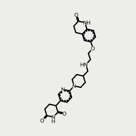 O=C1CCC(c2ccc(N3CCC(CNCCOc4ccc5c(c4)CCC(=O)N5)CC3)nc2)C(=O)N1